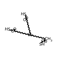 CC(CCCCCCCCC[CH2][Sn]([CH2]CCCCCCCCCCC(=O)OCCS)[CH2]CCCCCCCCCCC(=O)OCCS)C(=O)OCCS